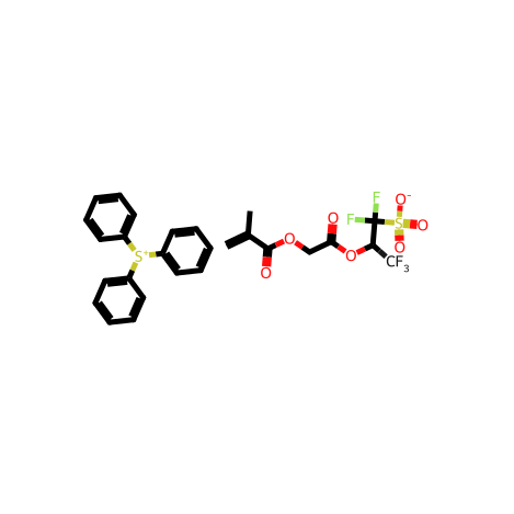 C=C(C)C(=O)OCC(=O)OC(C(F)(F)F)C(F)(F)S(=O)(=O)[O-].c1ccc([S+](c2ccccc2)c2ccccc2)cc1